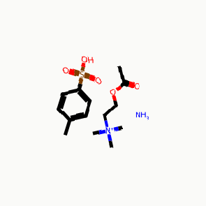 CC(=O)OCC[N+](C)(C)C.Cc1ccc(S(=O)(=O)O)cc1.N